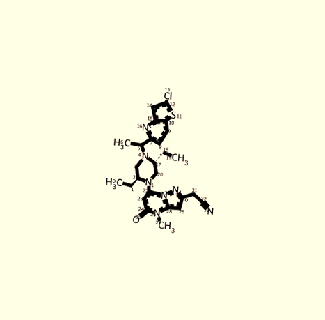 CC[C@H]1CN(C(C)c2ccc3sc(Cl)cc3n2)[C@H](CC)CN1c1cc(=O)n(C)c2cc(CC#N)nn12